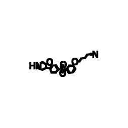 N#CCCCCOc1cccc(S(=O)(=O)c2ccc3c(c2)OC2CNCCC32)c1